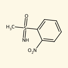 CS(=N)(=O)c1ccccc1[N+](=O)[O-]